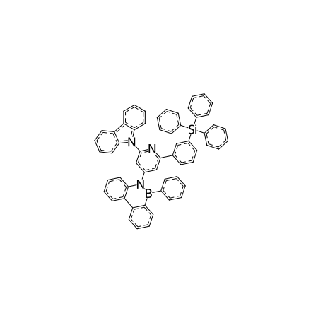 c1ccc(B2c3ccccc3-c3ccccc3N2c2cc(-c3cccc([Si](c4ccccc4)(c4ccccc4)c4ccccc4)c3)nc(-n3c4ccccc4c4ccccc43)c2)cc1